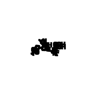 CCN(CCCOc1ccc(-c2cccc(S(=O)(=O)C3CC3)c2)c2c1[nH]c1ncc(C)cc12)C(F)(F)COP(=O)(O)O